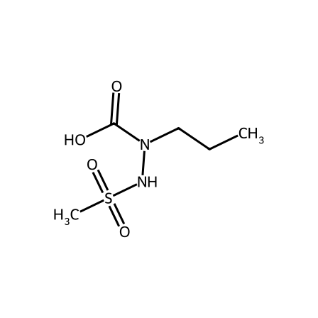 CCCN(NS(C)(=O)=O)C(=O)O